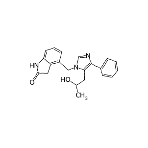 CC(O)Cc1c(-c2ccccc2)ncn1Cc1cccc2c1CC(=O)N2